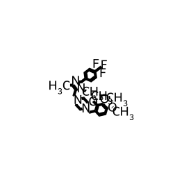 COc1ccc(CN2CCN(Cc3c(C)nc(-c4ccc(C(F)(F)F)cc4)n3C)CC2)c(OC)c1OC